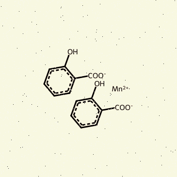 O=C([O-])c1ccccc1O.O=C([O-])c1ccccc1O.[Mn+2]